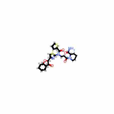 NC(=O)C1CCCCN1C(=O)CCN(C(=O)c1cccs1)c1nc(C2Oc3ccccc3C2=O)cs1